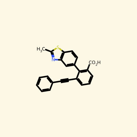 Cc1nc2cc(-c3c(C#Cc4ccccc4)cccc3C(=O)O)ccc2s1